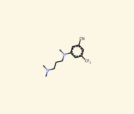 CN(C)CCCN(C)c1cc(C#N)cc(C(F)(F)F)c1